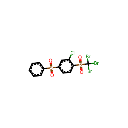 O=S(=O)(c1ccccc1)c1ccc(S(=O)(=O)C(Br)(Br)Br)c(Cl)c1